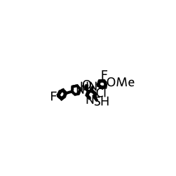 COc1ccc(Nc2c(C(=O)N3CCC(c4ccc(F)cc4)CC3)cnc(S)c2Cl)cc1F